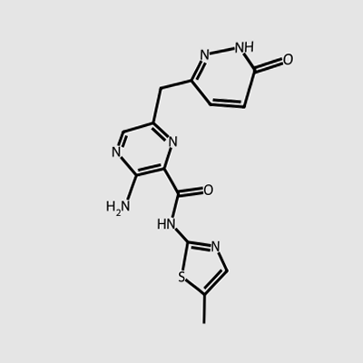 Cc1cnc(NC(=O)c2nc(Cc3ccc(=O)[nH]n3)cnc2N)s1